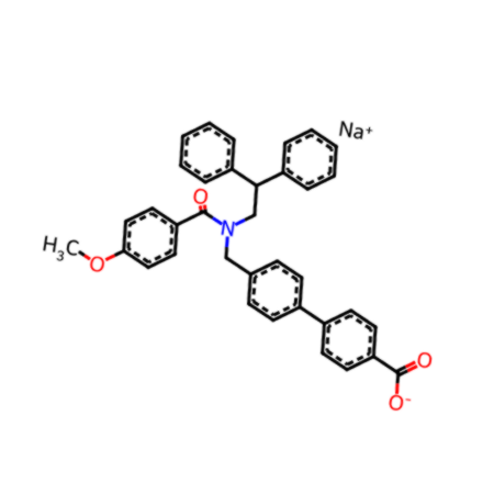 COc1ccc(C(=O)N(Cc2ccc(-c3ccc(C(=O)[O-])cc3)cc2)CC(c2ccccc2)c2ccccc2)cc1.[Na+]